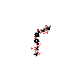 C=C(C)C(=O)OCC(O)COC(=O)c1ccc(Oc2ccc(C(=O)OCC(O)COC(=O)C(=C)C)cc2)cc1